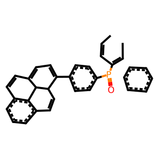 C/C=C\C(=C/C)[P@@](=O)(c1ccccc1)c1ccc(C2=CC=C3C=Cc4cccc5c4C3C2C=C5)cc1